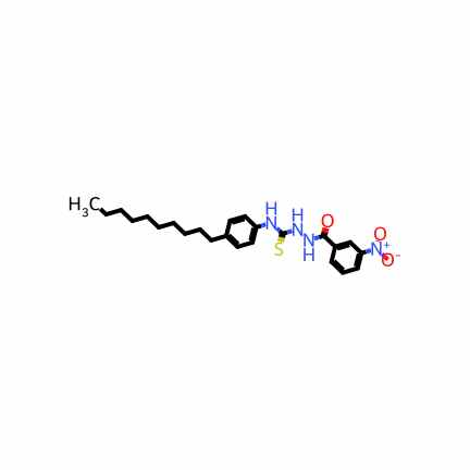 CCCCCCCCCCc1ccc(NC(=S)NNC(=O)c2cccc([N+](=O)[O-])c2)cc1